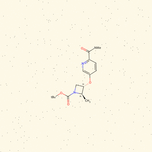 CNC(=O)c1ccc(O[C@H]2CN(C(=O)OC(C)(C)C)[C@@H]2C)cn1